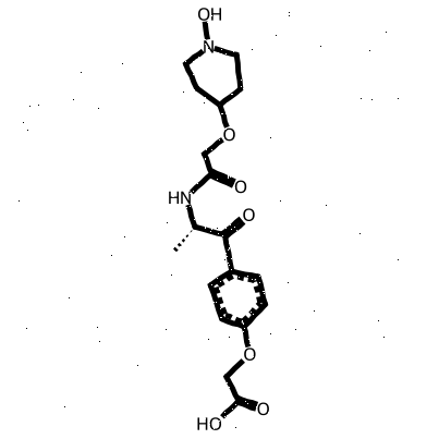 C[C@H](NC(=O)COC1CCN(O)CC1)C(=O)c1ccc(OCC(=O)O)cc1